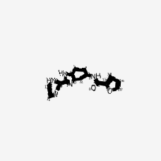 O=C(Nc1ccc2[nH]c(-c3ncc[nH]3)nc2c1)c1ccco1